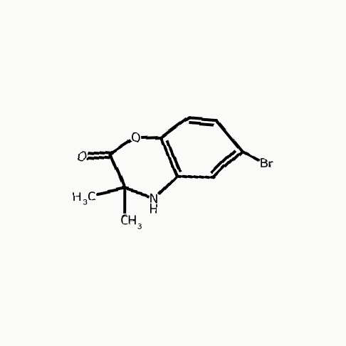 CC1(C)Nc2cc(Br)ccc2OC1=O